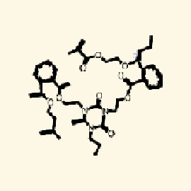 C=C(C)CCOC(=C)c1ccccc1C(=C)OCCN1C(=C)N(CCC)C(=O)N(CCOC(=O)c2ccccc2/C(=C\CC)OCCOC(=O)C(=C)C)C1=O